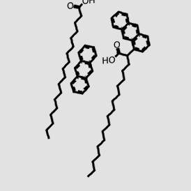 CCCCCCCCCCCCCCCCC(C(=O)O)c1cccc2cc3ccccc3cc12.CCCCCCCCCCCCCCCCCC(=O)O.c1ccc2cc3ccccc3cc2c1